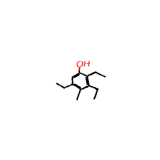 CCc1cc(O)c(CC)c(CC)c1C